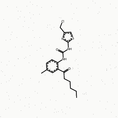 CCCCCC(=O)c1cc(C)ccc1NC(=O)Nc1nc(CCl)cs1